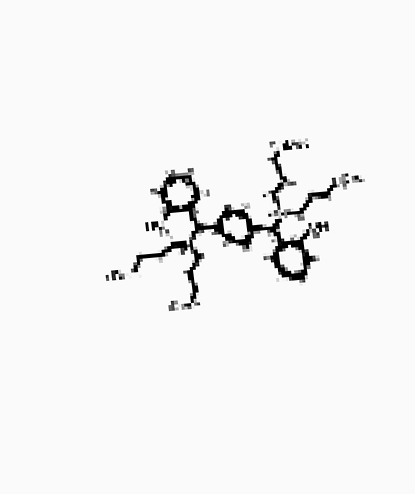 CCCCCCCCCCCCCN(CCCCCCCCCCCCC)C(c1ccc(C(c2ccccc2O)N(CCCCCCCCCCCCC)CCCCCCCCCCCCC)cc1)c1ccccc1O